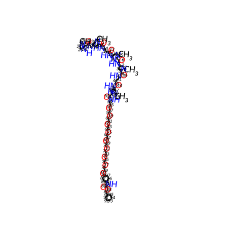 Cn1cc(NC(=O)c2nc(NC(=O)CCNC(=O)c3cc(NC(=O)c4nccn4C)cn3C)cn2C)cc1C(=O)NCCC(=O)Nc1cn(C)c(C(=O)NCCOCCOCCOCCOCCOCCOCCOCCOCCOc2ccc(NC(=O)OCc3ccccc3)cc2)n1